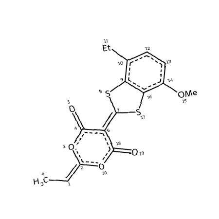 CC=c1oc(=O)c(=C2Sc3c(CC)ccc(OC)c3S2)c(=O)o1